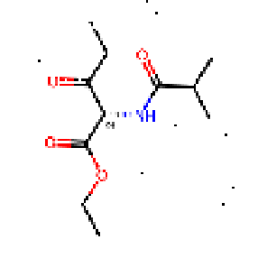 CCOC(=O)[C@@H](NC(=O)C(C)C)C(=O)CC